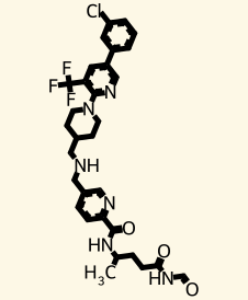 CC(CCC(=O)NC=O)NC(=O)c1ccc(CNCC2CCN(c3ncc(-c4cccc(Cl)c4)cc3C(F)(F)F)CC2)cn1